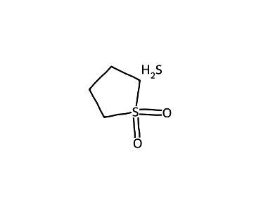 O=S1(=O)CCCC1.S